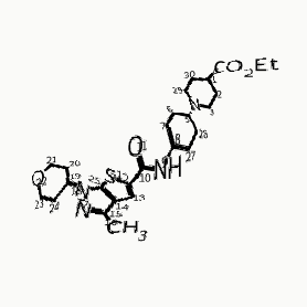 CCOC(=O)C1CCN([C@H]2CC[C@H](NC(=O)c3cc4c(C)nn(C5CCOCC5)c4s3)CC2)CC1